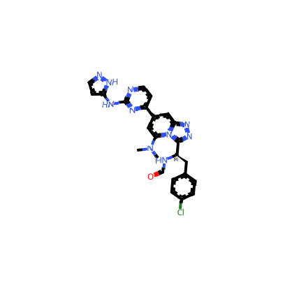 CN(C)c1cc(-c2ccnc(Nc3ccn[nH]3)n2)cc2nnc([C@@H](Cc3ccc(Cl)cc3)NC=O)n12